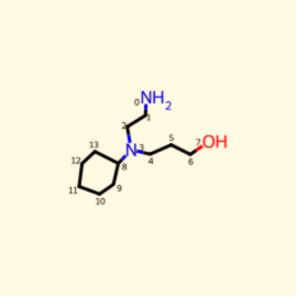 NCCN(CCCO)C1CCCCC1